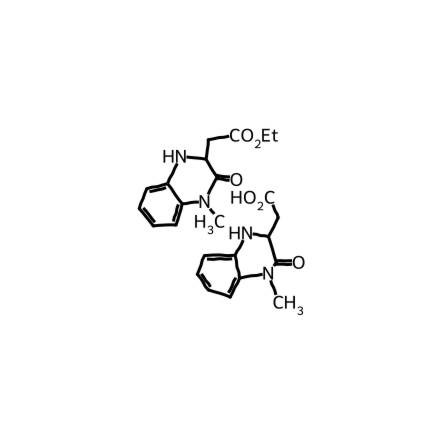 CCOC(=O)CC1Nc2ccccc2N(C)C1=O.CN1C(=O)C(CC(=O)O)Nc2ccccc21